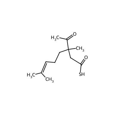 CC(=O)C(C)(CCC=C(C)C)CC(=O)S